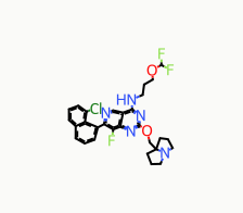 Fc1c(-c2cccc3cccc(Cl)c23)ncc2c(NCCCOC(F)F)nc(OCC34CCCN3CCC4)nc12